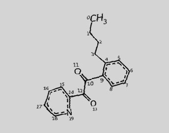 CCCCc1ccccc1C(=O)C(=O)c1ccccn1